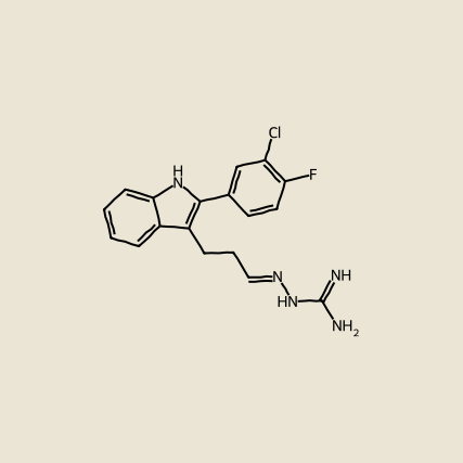 N=C(N)NN=CCCc1c(-c2ccc(F)c(Cl)c2)[nH]c2ccccc12